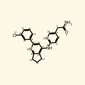 NC(=O)Cc1ccc(Nc2cc(-c3cccc(Cl)c3)nc3c2CCC3)nc1